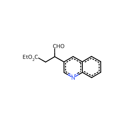 CCOC(=O)CC(C=O)c1cnc2ccccc2c1